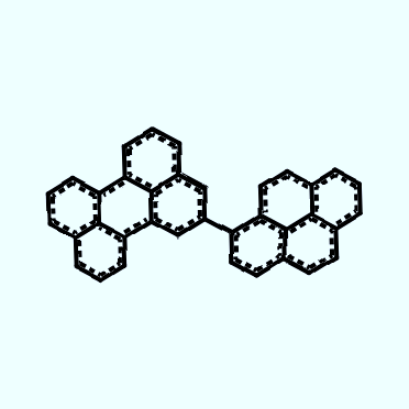 [c]1c(-c2ccc3ccc4cccc5ccc2c3c45)cc2cccc3c4cccc5cccc(c1c23)c54